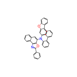 c1ccc(-c2nc3c(o2)c(N(c2ccc4c(c2)oc2ccccc24)c2ccccc2-c2ccccc2)cc2ccccc23)cc1